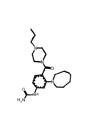 CCCN1CCN(C(=O)c2ccc(NC(N)=O)cc2N2CCCCCC2)CC1